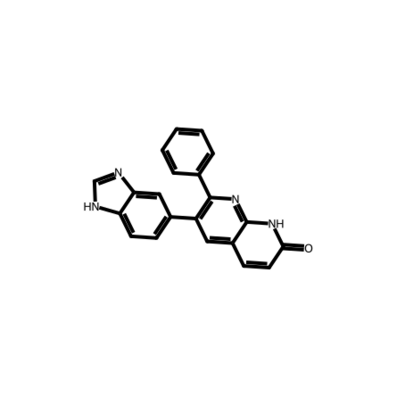 O=c1ccc2cc(-c3ccc4[nH]cnc4c3)c(-c3ccccc3)nc2[nH]1